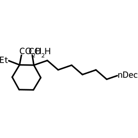 CCCCCCCCCCCCCCCCC1(C(=O)O)CCCCC1(CC)C(=O)O